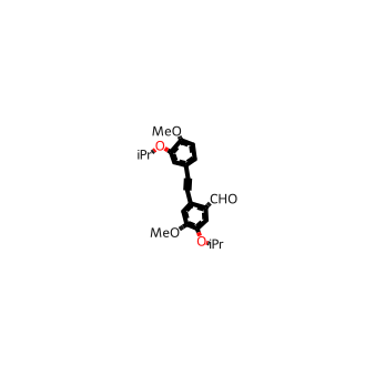 COc1ccc(C#Cc2cc(OC)c(OC(C)C)cc2C=O)cc1OC(C)C